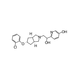 Oc1ccc(C(O)CN2C[C@H]3C[C@H](Oc4ccccc4Cl)C[C@H]3C2)nc1